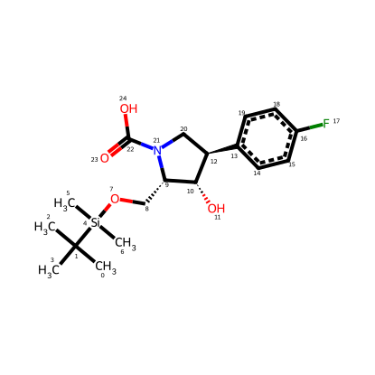 CC(C)(C)[Si](C)(C)OC[C@H]1[C@@H](O)[C@H](c2ccc(F)cc2)CN1C(=O)O